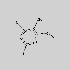 COc1cc(I)cc(I)c1O